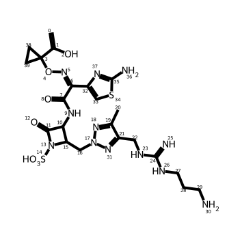 C=C(O)C1(O/N=C(\C(=O)NC2C(=O)N(S(=O)(=O)O)C2Cn2nc(C)c(CNC(=N)NCCCN)n2)c2csc(N)n2)CC1